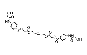 O=C(CO)Nc1ccc(C(=O)OCC(=O)OCCOCCOC(=O)COC(=O)c2ccc(NC(=O)CO)cc2)cc1